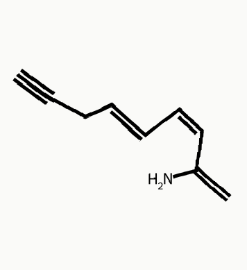 C#CC/C=C/C=C\C(=C)N